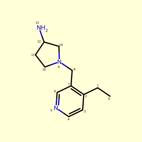 CCc1ccncc1CN1CCC(N)C1